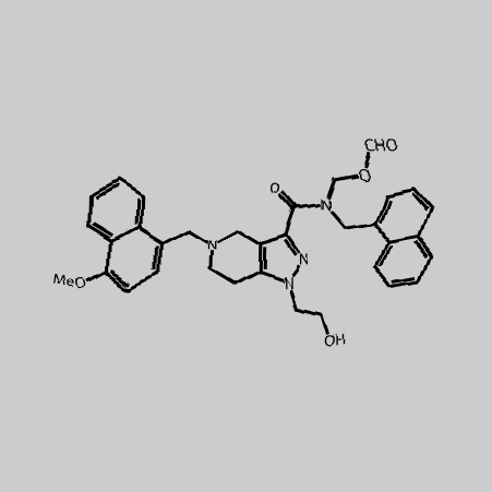 COc1ccc(CN2CCc3c(c(C(=O)N(COC=O)Cc4cccc5ccccc45)nn3CCO)C2)c2ccccc12